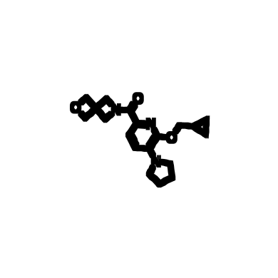 O=C(c1ccc(N2CCCC2)c(OCC2CC2)n1)N1CC2(COC2)C1